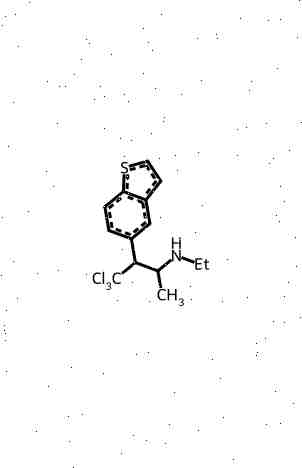 CCNC(C)C(c1ccc2sccc2c1)C(Cl)(Cl)Cl